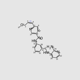 COC/C=C\c1cnc(C(=O)Nc2cccc(CNc3cccnc3N)c2)cn1